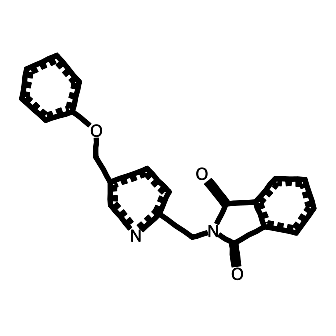 O=C1c2ccccc2C(=O)N1Cc1ccc(COc2ccccc2)cn1